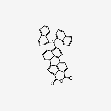 O=C1OC(=O)c2ccc3c4ccc(N(c5cccc6ccccc56)c5cccc6ccccc56)c5cccc(c6ccc1c2c63)c54